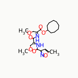 COC[C@H](NC(=O)c1cc(C)on1)C(=O)N[C@@H](COC)C(=O)OC1CCCCCCCC1